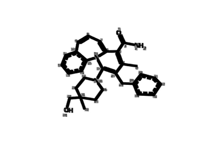 CC1=C(C(N)=O)C2=CC=Cc3ccccc3N2C(N2CCC(C)(CO)CC2)=C1Cc1ccccc1